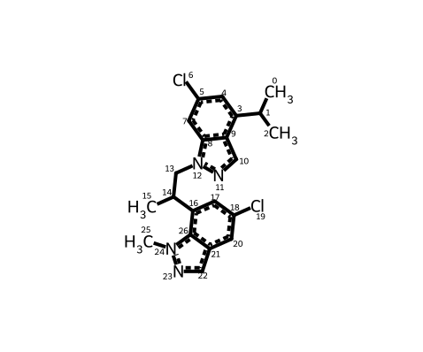 CC(C)c1cc(Cl)cc2c1cnn2CC(C)c1cc(Cl)cc2cnn(C)c12